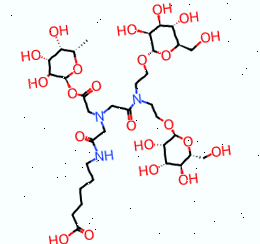 C[C@@H]1O[C@@H](OC(=O)CN(CC(=O)NCCCCCC(=O)O)CC(=O)N(CCO[C@H]2O[C@H](CO)[C@@H](O)[C@H](O)[C@@H]2O)CCO[C@H]2O[C@H](CO)[C@@H](O)[C@H](O)[C@@H]2O)[C@@H](O)[C@H](O)[C@@H]1O